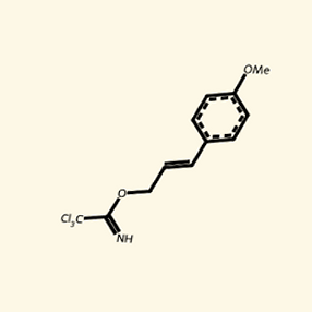 COc1ccc(/C=C/COC(=N)C(Cl)(Cl)Cl)cc1